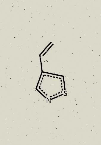 C=Cc1[c]nsc1